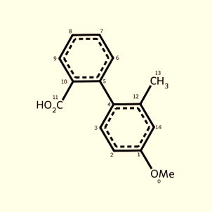 COc1ccc(-c2ccccc2C(=O)O)c(C)c1